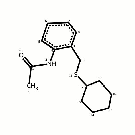 CC(=O)Nc1ccccc1CSC1CCCCC1